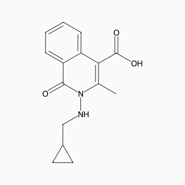 Cc1c(C(=O)O)c2ccccc2c(=O)n1NCC1CC1